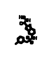 Cc1cccc(CS(=O)(=O)Nc2ccc3sc(C(=O)NO)cc3c2)c1